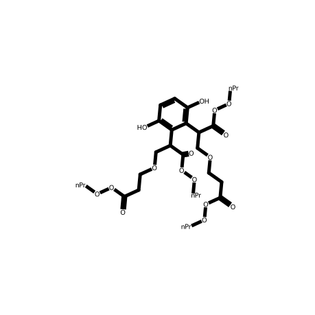 CCCOOC(=O)CCOCC(C(=O)OOCCC)c1c(O)ccc(O)c1C(COCCC(=O)OOCCC)C(=O)OOCCC